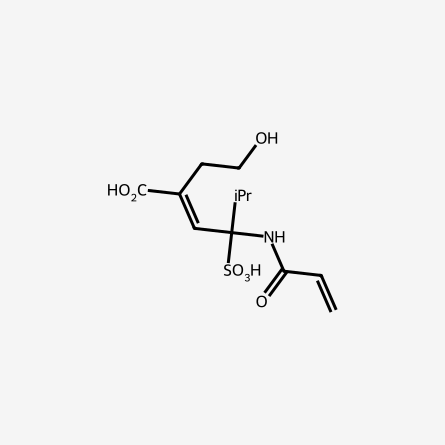 C=CC(=O)NC(C=C(CCO)C(=O)O)(C(C)C)S(=O)(=O)O